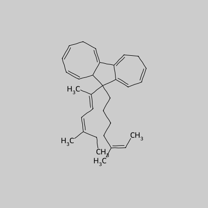 C/C=C(/C)CCCCC1(/C(C)=C/C=C(/C)CC)C2=CC=CCC=C2/C2=C/C/C=C\C=CC21